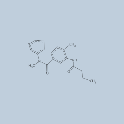 CCCC(=O)Nc1cc(C(=O)N(C)c2cccnc2)ccc1C